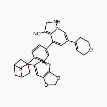 N#CC1=C2C(c3ccc(N4CC5CC(C4)N5Cc4cnc5c(c4)OCO5)nc3)=CC(C3=CCOCC3)=CN2NC1